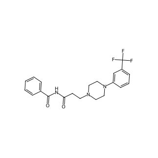 O=C(CCN1CCN(c2cccc(C(F)(F)F)c2)CC1)NC(=O)c1ccccc1